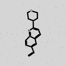 C=Cc1ccc2nc(C3CCOCC3)ccc2c1